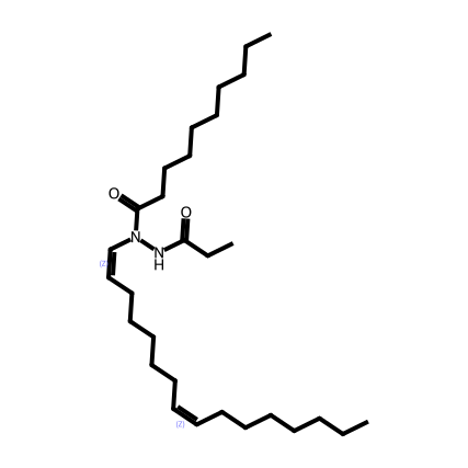 CCCCCCC/C=C\CCCCC/C=C\N(NC(=O)CC)C(=O)CCCCCCCCC